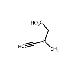 C#CN(C)CC(=O)O